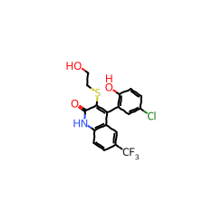 O=c1[nH]c2ccc(C(F)(F)F)cc2c(-c2cc(Cl)ccc2O)c1SCCO